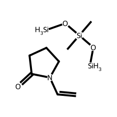 C=CN1CCCC1=O.C[Si](C)(O[SiH3])O[SiH3]